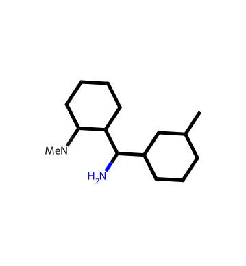 CNC1CCCCC1C(N)C1CCCC(C)C1